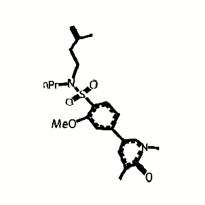 C=C(C)CCN(CCC)S(=O)(=O)c1ccc(-c2cc(C)c(=O)n(C)c2)cc1OC